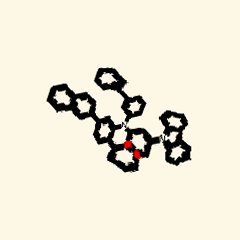 c1ccc(-c2cccc(N(c3cccc(-n4c5ccccc5c5ccccc54)c3)c3cc(-c4ccc5ccccc5c4)ccc3-c3ccccc3)c2)cc1